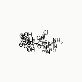 C[C@H](OP(=O)(O)OP(=O)(O)OP(=O)(O)O)[C@H]1O[C@@H](n2cnc3cnc(N)nc32)C(F)(C#CCl)[C@H]1O